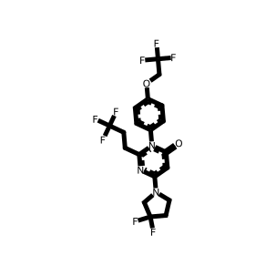 O=c1cc(N2CCC(F)(F)C2)nc(CCC(F)(F)F)n1-c1ccc(OCC(F)(F)F)cc1